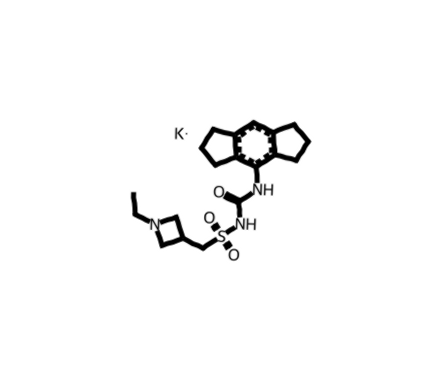 CCN1CC(CS(=O)(=O)NC(=O)Nc2c3c(cc4c2CCC4)CCC3)C1.[K]